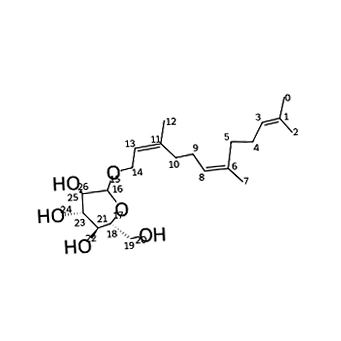 CC(C)=CCCC(C)=CCCC(C)=CCOC1O[C@H](CO)[C@@H](O)[C@H](O)[C@H]1O